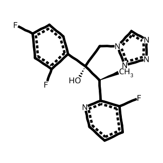 C[C@@H](c1ncccc1F)[C@](O)(Cn1cnnn1)c1ccc(F)cc1F